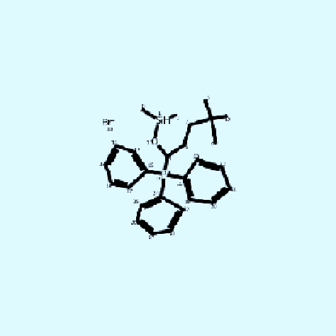 C[SiH](C)OC(CCC(C)(C)C)[P+](c1ccccc1)(c1ccccc1)c1ccccc1.[Br-]